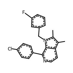 Cc1c(C)n(Cc2cccc(F)c2)c2c(-c3ccc(Cl)cc3)nccc12